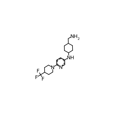 NCC1CCC(Nc2ccc(N3CCC(C(F)(F)F)CC3)nc2)CC1